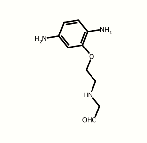 Nc1ccc(N)c(OCCNCC=O)c1